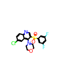 O=S(=O)(c1cc(F)cc(F)c1)c1cnc2ccc(Cl)cc2c1N1CCOCC1